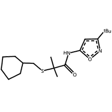 CC(C)(SCC1CCCCC1)C(=O)Nc1cc(C(C)(C)C)no1